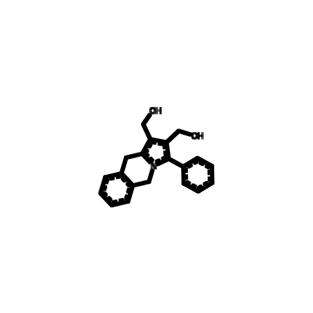 OCc1c(CO)c(-c2ccccc2)n2c1Cc1ccccc1C2